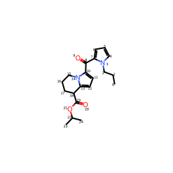 CCCn1cccc1C(=O)c1ccc2n1CCCC2C(=O)OC(C)C